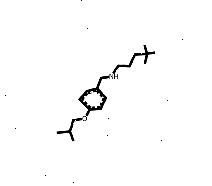 CC(C)COc1ccc(CNCCCC(C)(C)C)cc1